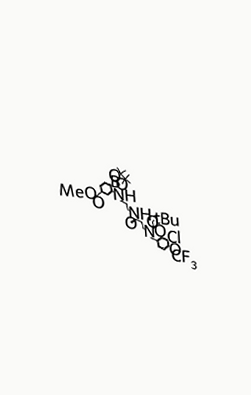 COC(=O)c1ccc(B2OC(C)(C)C(C)(C)O2)c(NCCCNC(=O)CCN(Cc2ccc(OC(F)(F)F)c(Cl)c2)C(=O)OC(C)(C)C)c1